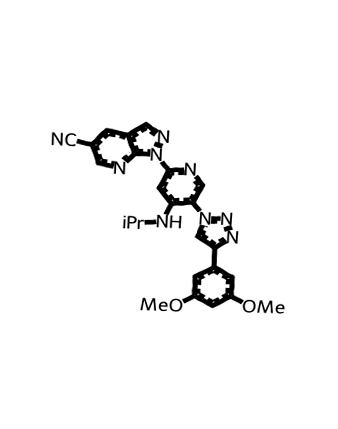 COc1cc(OC)cc(-c2cn(-c3cnc(-n4ncc5cc(C#N)cnc54)cc3NC(C)C)nn2)c1